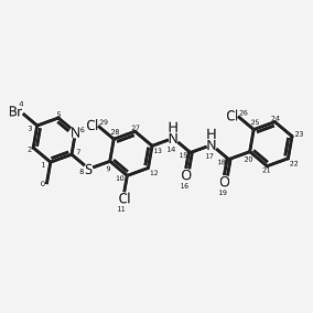 Cc1cc(Br)cnc1Sc1c(Cl)cc(NC(=O)NC(=O)c2ccccc2Cl)cc1Cl